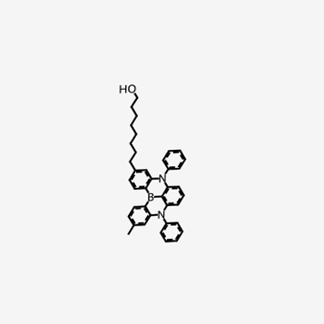 Cc1ccc2c(c1)N(c1ccccc1)c1cccc3c1B2c1ccc(CCCCCCCCO)cc1N3c1ccccc1